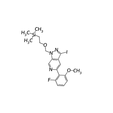 COc1cccc(F)c1-c1cc2c(I)nn(COCC[Si](C)(C)C)c2cn1